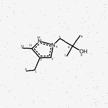 CCc1cn(CC(C)(C)O)nc1C